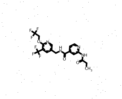 CCC(=O)Nc1cc(C(=O)NCc2cnc(OCC(F)(F)F)c(C(F)(F)F)c2)ccn1